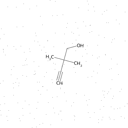 C#CC(C)(C)CO